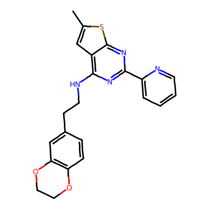 Cc1cc2c(NCCc3ccc4c(c3)OCCO4)nc(-c3ccccn3)nc2s1